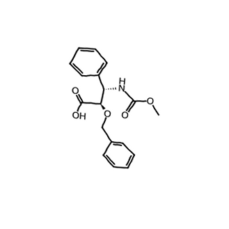 COC(=O)N[C@@H](c1ccccc1)[C@@H](OCc1ccccc1)C(=O)O